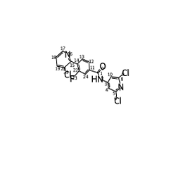 O=C(Nc1cc(Cl)nc(Cl)c1)c1ccc(-c2ncccc2Cl)c(F)c1